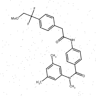 COCC(F)(F)c1ccc(CC(=O)Nc2ccc(C(=O)N(C)c3cc(C)cc(C)c3)cc2)cc1